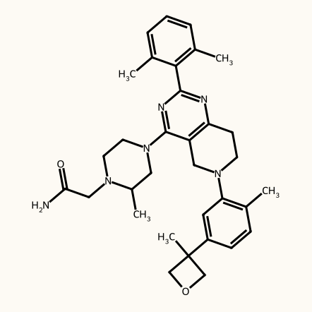 Cc1ccc(C2(C)COC2)cc1N1CCc2nc(-c3c(C)cccc3C)nc(N3CCN(CC(N)=O)C(C)C3)c2C1